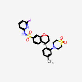 O=S1(=O)CCN(c2cc(C(F)(F)F)ccc2[C@H]2CCOc3cc(S(=O)(=O)Nc4cccc(I)n4)ccc32)CC1